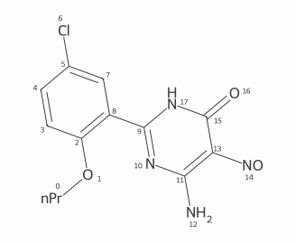 CCCOc1ccc(Cl)cc1-c1nc(N)c(N=O)c(=O)[nH]1